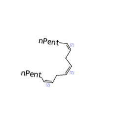 [CH2]CCCC/C=C\C/C=C\C/C=C\CCCCC